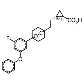 O=C(O)[C@@H]1C[C@H]1CCC12CCC(c3cc(F)cc(Oc4ccccc4)c3)(CC1)OC2